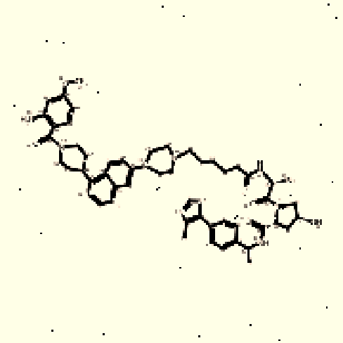 Cc1ncsc1-c1ccc([C@H](C)NC(=O)[C@H]2C[C@H](O)CN2C(=O)[C@@H](NC(=O)CCCCCN2CCN(c3ccc4c(C5CCN(C(=O)c6ccc(OC(F)(F)F)cc6N)CC5)ncnc4c3)CC2)C(C)(C)C)cc1